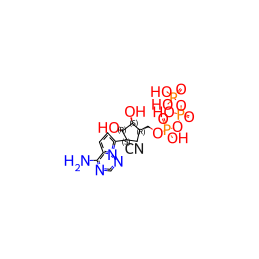 N#C[C@@]1(c2ccc3c(N)ncnn23)C[C@H](COP(=O)(O)OP(=O)(O)OP(=O)(O)O)[C@H](O)[C@@H]1O